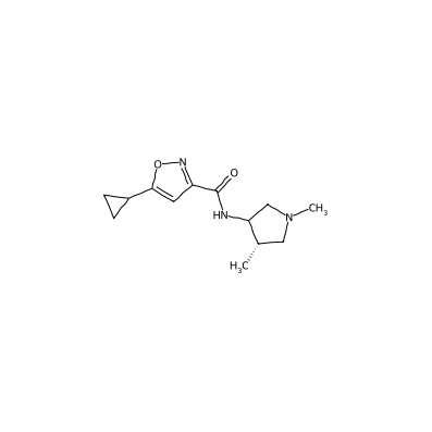 C[C@H]1CN(C)CC1NC(=O)c1cc(C2CC2)on1